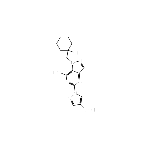 CC1(Cn2ncc3nc(-n4cc(C(=O)O)cn4)nc(O)c32)CCCCC1